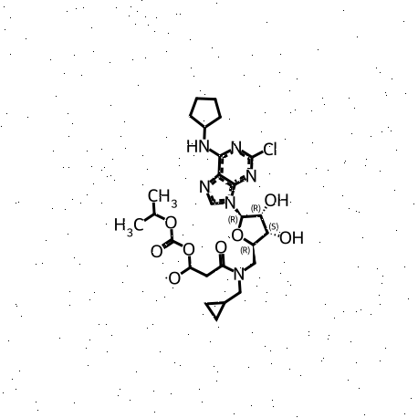 CC(C)OC(=O)OC([O])CC(=O)N(CC1CC1)C[C@H]1O[C@@H](n2cnc3c(NC4CCCC4)nc(Cl)nc32)[C@H](O)[C@@H]1O